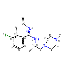 C=C/N=C(/N[C@@H](C)CN1CCN(C)CC1)c1cccc(F)c1C